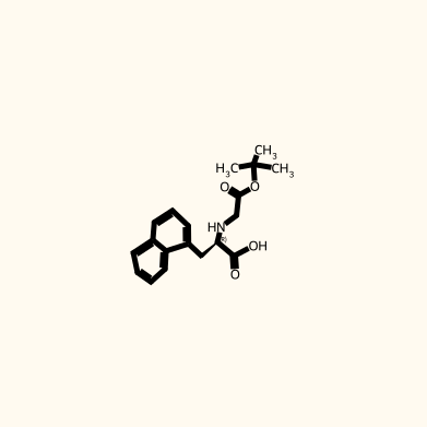 CC(C)(C)OC(=O)CN[C@H](Cc1cccc2ccccc12)C(=O)O